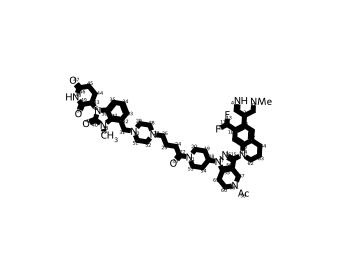 CNCC(C=N)c1cc2c(cc1C(F)F)N(c1nn(C3CCN(C(=O)CCCN4CCN(Cc5cccc6c5n(C)c(=O)n6C5CCC(=O)NC5=O)CC4)CC3)c3c1CN(C(C)=O)CC3)CCC2